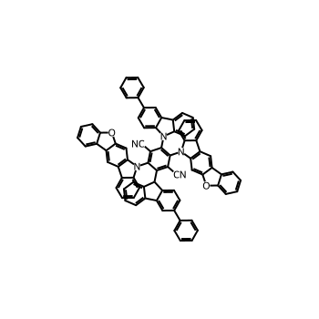 N#Cc1c(C2c3ccccc3-c3cc(-c4ccccc4)ccc32)c(-n2c3ccccc3c3cc4c(cc32)oc2ccccc24)c(C#N)c(-n2c3ccccc3c3cc(-c4ccccc4)ccc32)c1-n1c2ccccc2c2cc3c(cc21)oc1ccccc13